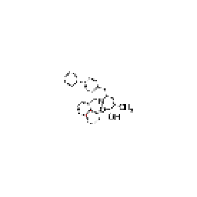 CC(=CC(Cc1ccc(-c2ccccc2)cc1)N(Cc1ccccc1)Cc1ccccc1)C(=O)O